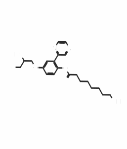 CCCCCCCCC(=O)Oc1ccc(OCC(C)CC)cc1-c1cnccn1